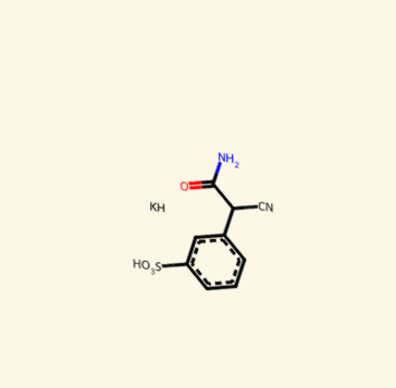 N#CC(C(N)=O)c1cccc(S(=O)(=O)O)c1.[KH]